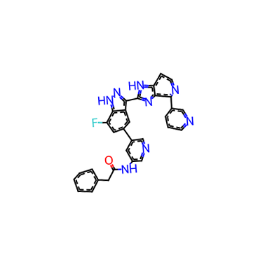 O=C(Cc1ccccc1)Nc1cncc(-c2cc(F)c3[nH]nc(-c4nc5c(-c6cccnc6)nccc5[nH]4)c3c2)c1